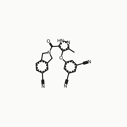 Cc1n[nH]c(C(=O)N2Cc3ccc(C#N)cc3C2)c1Oc1cc(C#N)cc(C#N)c1